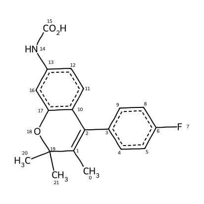 CC1=C(c2ccc(F)cc2)c2ccc(NC(=O)O)cc2OC1(C)C